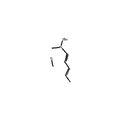 CC=CC=CN(C)C(C)(C)C.[CH3][Ti]